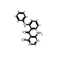 Nc1ncnc(Cl)c1C(=O)c1ccccc1Oc1ccccc1